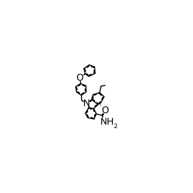 CCc1c[c]c2c3c(C(N)=O)cccc3n(Cc3ccc(Oc4ccccc4)cc3)c2c1